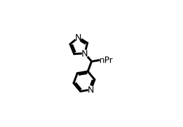 [CH2]CCC(c1cccnc1)n1ccnc1